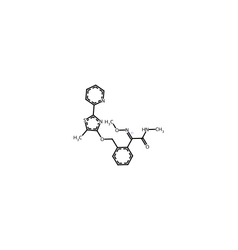 CNC(=O)/C(=N/OC)c1ccccc1COc1nc(-c2ccccn2)sc1C